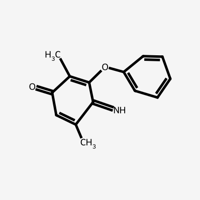 CC1=CC(=O)C(C)=C(Oc2ccccc2)C1=N